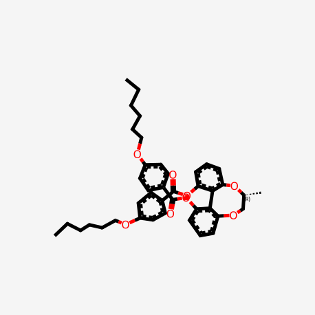 CCCCCCOc1ccc(C(=O)Oc2cccc3c2-c2c(OC(=O)c4ccc(OCCCCCC)cc4)cccc2O[C@H](C)CO3)cc1